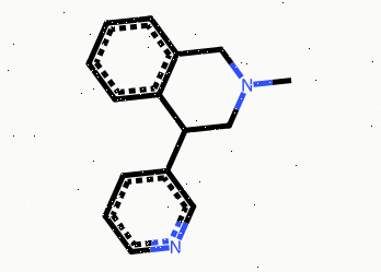 CN1Cc2ccccc2C(c2cccnc2)C1